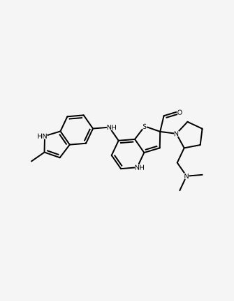 Cc1cc2cc(NC3=C4SC(C=O)(N5CCCC5CN(C)C)C=C4NC=C3)ccc2[nH]1